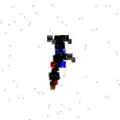 Cc1nc(N2CCC(N(C)C)CC2)nc2ccc(NC(=O)CCc3ccc(OC=S)cc3)cc12